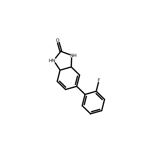 O=C1NC2C=CC(c3c[c]ccc3F)=CC2N1